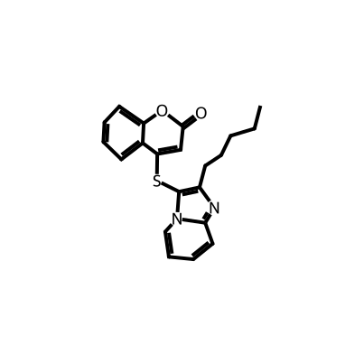 CCCCCc1nc2ccccn2c1Sc1cc(=O)oc2ccccc12